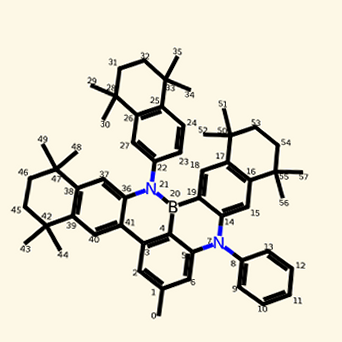 Cc1cc2c3c(c1)N(c1ccccc1)c1cc4c(cc1B3N(c1ccc3c(c1)C(C)(C)CCC3(C)C)c1cc3c(cc1-2)C(C)(C)CCC3(C)C)C(C)(C)CCC4(C)C